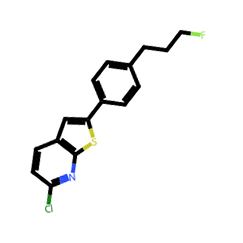 FCCCc1ccc(-c2cc3ccc(Cl)nc3s2)cc1